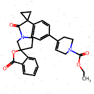 CCOC(=O)N1CC=C(c2ccc(C3(C(=O)N4CCC5(C4)OC(=O)c4ccccc45)CC3)cc2)CC1